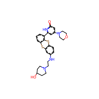 O=c1cc(N2CCOCC2)cc(-c2cccc3c2Sc2ccc(NCCN4CCC(O)CC4)cc2S3)[nH]1